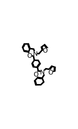 C1=CC2=C(CC1)CN(Cc1ccco1)C(C1=CCC(C3Oc4ccccc4CN3Cc3ccco3)C=C1)O2